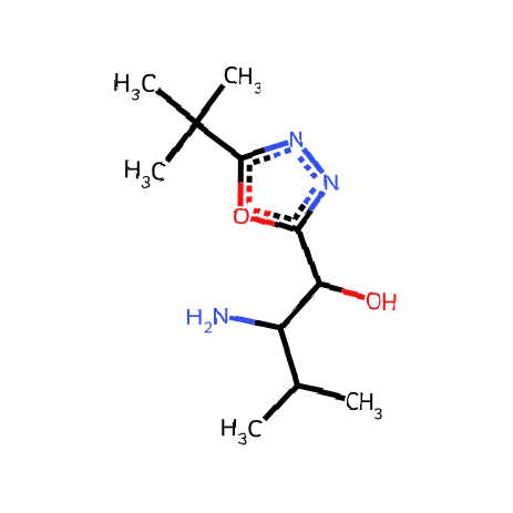 CC(C)C(N)C(O)c1nnc(C(C)(C)C)o1